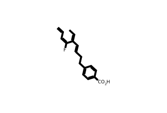 C=C\C=C(F)/C(=C\C)/C=C/CCc1ccc(C(=O)O)cc1